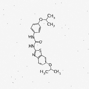 CC(C)Oc1ccc(NC(=O)Nc2nc3ccc(OC(C)C)cc3s2)cc1